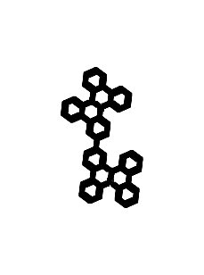 c1ccc2c(c1)B1c3cc(-c4ccc5c(c4)-c4ccccc4B4c6ccccc6-c6ccccc6N45)ccc3-c3ccccc3N1c1ccccc1-2